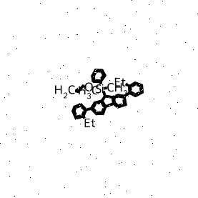 C=CCOc1ccccc1[Si](C)(C)C1c2cc(-c3ccccc3CC)ccc2-c2ccc(-c3ccccc3CC)cc21